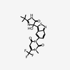 Cn1c(C(F)(F)F)cc(=O)n(-c2ccc3nsc(C4(O)N=C(C(C)(C)C)NC4=O)c3c2)c1=O